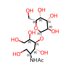 CC(=O)N[C@@H](CO)[C@@H](O)[C@H](O[C@@H]1O[C@H](CO)[C@H](O)[C@H](O)[C@H]1O)[C@H](O)CO